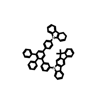 CC1(C)c2ccccc2-c2cc3c4ccccc4n(-c4cccc(-c5cc(-c6ccc(-n7c8c(c9ccccc97)CCC=C8)cc6)cc(-c6ccccc6)c5-c5ccccc5)c4)c3cc21